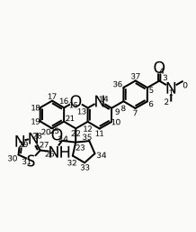 CN(C)C(=O)c1ccc(-c2ccc3c(n2)Oc2ccccc2C3C2(C(=O)Nc3nncs3)CCCC2)cc1